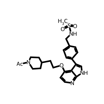 CC(=O)N1CCC(CCOc2ccnc3[nH]cc(-c4ccc(CNS(C)(=O)=O)cc4)c23)CC1